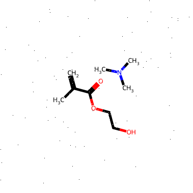 C=C(C)C(=O)OCCO.CN(C)C